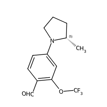 C[C@H]1CCCN1c1ccc(C=O)c(OC(F)(F)F)c1